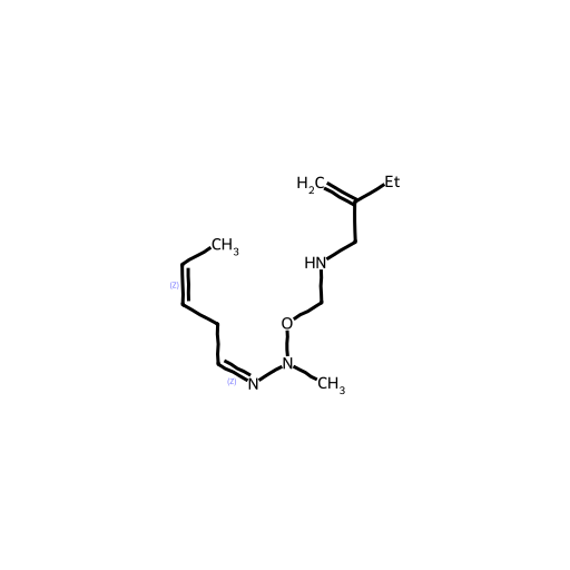 C=C(CC)CNCON(C)/N=C\C/C=C\C